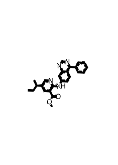 CCC(C)c1cnc(Nc2ccc3c(-c4ccccc4)ncnc3c2)c(C(=O)OC)c1